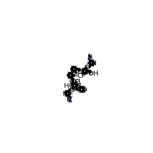 C/N=C/c1cncc(COc2cc(OCc3cccc(-c4cccc(COc5cc(OCc6cncc(/C=N/C)c6)c(CN6CCOC[C@@H]6C(=O)O)cc5Cl)c4C)c3C)c(Cl)cc2CO)c1